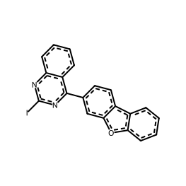 Ic1nc(-c2ccc3c(c2)oc2ccccc23)c2ccccc2n1